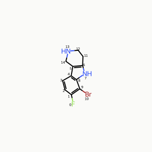 Fc1ccc2c3c([nH]c2c1Br)CCNC3